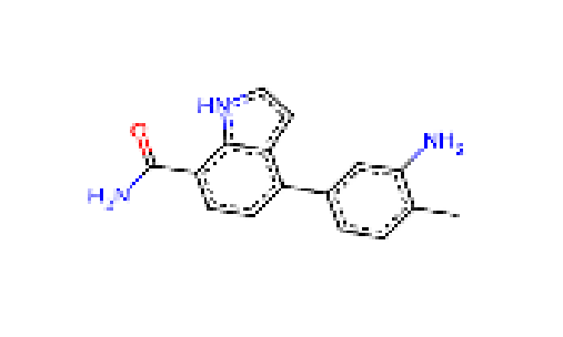 Cc1ccc(-c2ccc(C(N)=O)c3[nH]ccc23)cc1N